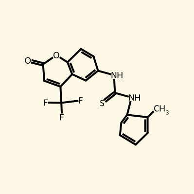 Cc1ccccc1NC(=S)Nc1ccc2oc(=O)cc(C(F)(F)F)c2c1